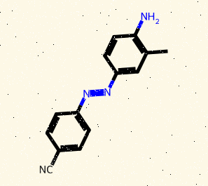 Cc1cc(/N=N/c2ccc(C#N)cc2)ccc1N